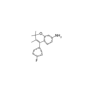 CC1=C(c2ccc(F)cc2)c2ccc(N)cc2OC1(C)C